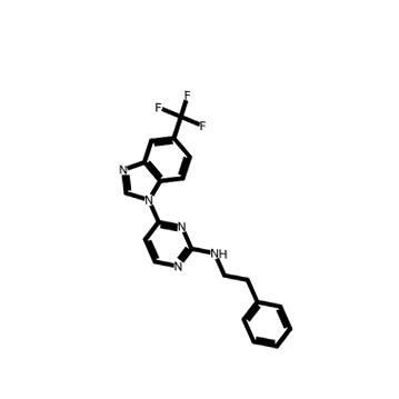 FC(F)(F)c1ccc2c(c1)ncn2-c1ccnc(NCCc2ccccc2)n1